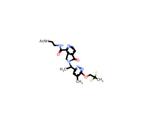 CC(=O)NCCNC(=O)c1nccc2c1CN(C(C)c1cc(C)c(OCC(C)(F)F)nn1)C2=O